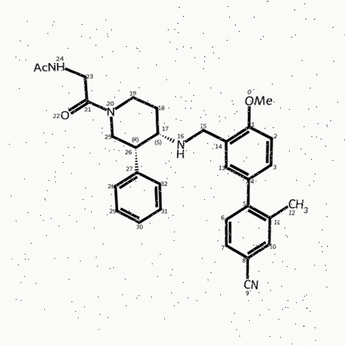 COc1ccc(-c2ccc(C#N)cc2C)cc1CN[C@H]1CCN(C(=O)CNC(C)=O)C[C@H]1c1ccccc1